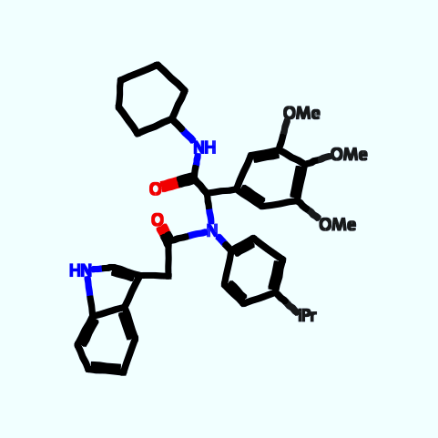 COc1cc(C(C(=O)NC2CCCCC2)N(C(=O)Cc2c[nH]c3ccccc23)c2ccc(C(C)C)cc2)cc(OC)c1OC